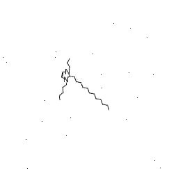 CCCCCCCCCCCCC1N(CCC)C=CN1CCCCC